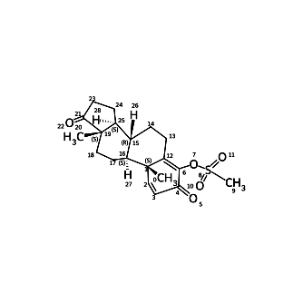 C[C@]12C=CC(=O)C(OS(C)(=O)=O)=C1CC[C@@H]1[C@@H]2CC[C@]2(C)C(=O)CC[C@@H]12